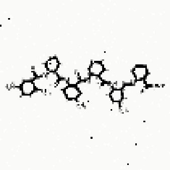 COC(=O)C1CCCCC1NCC1CC(N)CCC1NC(=O)C1CCCCC1NC(=O)C1CC(N)CCC1NC(=O)C1CCCCC1NC(=O)C1CC(N)CCC1C